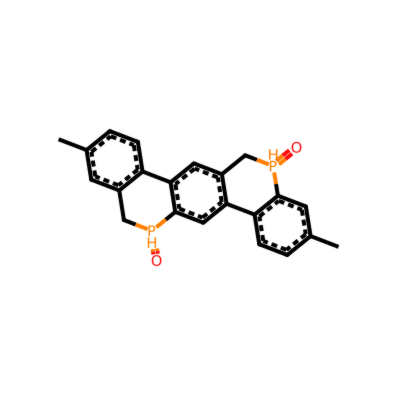 Cc1ccc2c(c1)C[PH](=O)c1cc3c(cc1-2)C[PH](=O)c1cc(C)ccc1-3